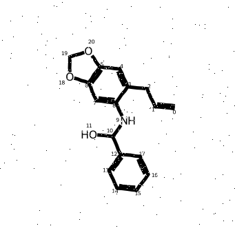 C=CCc1cc2c(cc1NC(O)c1ccccc1)OCO2